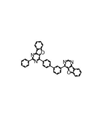 c1ccc(-c2nc(-c3ccc(-c4cccc(-c5ncnc6c5oc5ccccc56)c4)cc3)c3oc4ccccc4c3n2)cc1